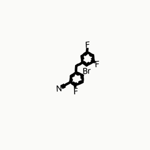 N#Cc1cc(Cc2cc(F)cc(F)c2)c(Br)cc1F